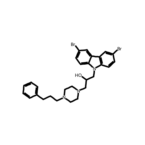 OC(CN1CCN(CCCc2ccccc2)CC1)Cn1c2ccc(Br)cc2c2cc(Br)ccc21